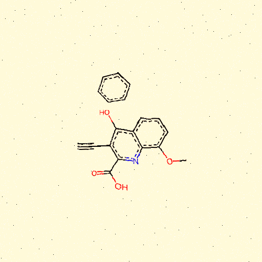 C#Cc1c(C(=O)O)nc2c(OC)cccc2c1O.c1ccccc1